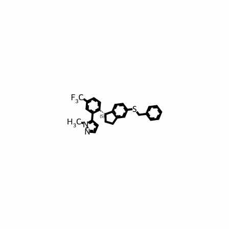 Cn1nccc1-c1cc(C(F)(F)F)ccc1[C@H]1CCc2cc(SCc3ccccc3)ccc21